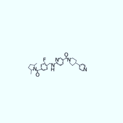 CC1CCC(C)N1C(=O)c1ccc(CNc2ccc(C(=O)N3CCC(c4ccncc4)CC3)cn2)c(F)c1